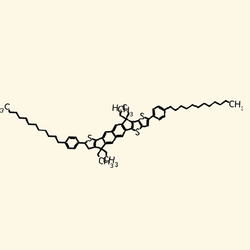 CCCCCCCCCCCCc1ccc(-c2cc3sc4c(c3s2)C(CC)(CC)c2cc3cc5c(cc3cc2-4)C(CC)(CC)C2=C5SC(c3ccc(CCCCCCCCCCCC)cc3)C2)cc1